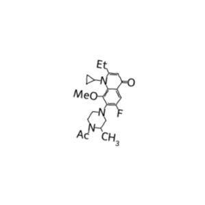 CCc1cc(=O)c2cc(F)c(N3CCN(C(C)=O)C(C)C3)c(OC)c2n1C1CC1